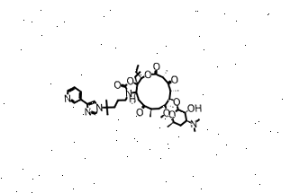 CC[C@H]1OC(=O)[C@H](C)C(=O)[C@H](C)[C@@H](OC2O[C@H](C)C[C@H](N(C)C)[C@H]2O)[C@@](C)(OC)C[C@@H](C)C(=O)[C@H](C)[C@H]2N(CCCC(C)(C)n3cnc(-c4cccnc4)c3)C(=O)O[C@]12CC